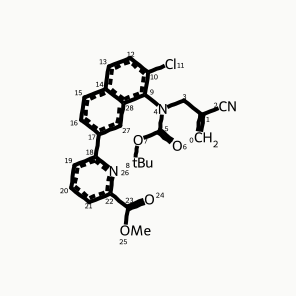 C=C(C#N)CN(C(=O)OC(C)(C)C)c1c(Cl)ccc2ccc(-c3cccc(C(=O)OC)n3)cc12